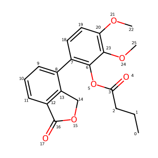 CCCC(=O)Oc1c(-c2cccc3c2COC3=O)ccc(OC)c1OC